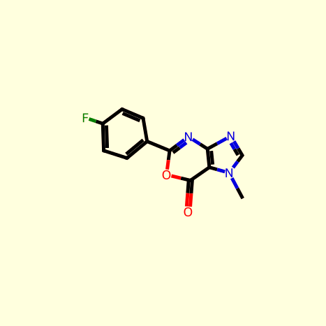 Cn1cnc2nc(-c3ccc(F)cc3)oc(=O)c21